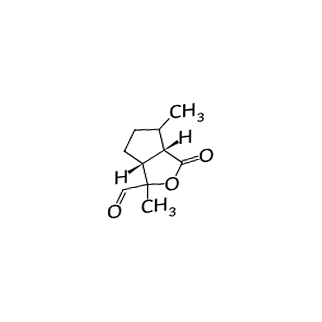 CC1CC[C@@H]2[C@H]1C(=O)OC2(C)C=O